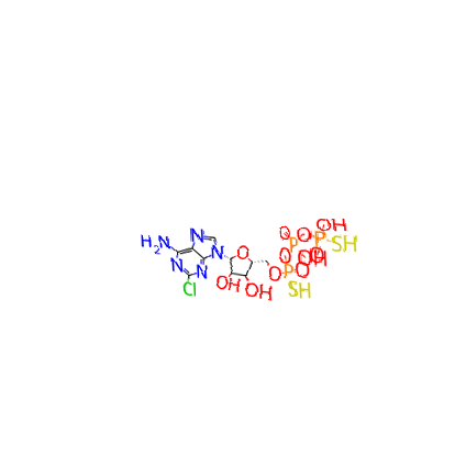 Nc1nc(Cl)nc2c1ncn2[C@@H]1O[C@H](CO[P@](=O)(S)OP(=O)(O)OP(=O)(O)S)[C@@H](O)C1O